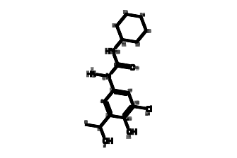 CC(O)c1cc(N(S)C(=O)NC2CCCCC2)cc(Cl)c1O